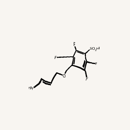 CCC/C=C/COc1c(F)c(F)c(S(=O)(=O)O)c(F)c1F